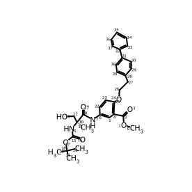 COC(=O)c1cc(NC(=O)[C@](C)(CO)NC(=O)OC(C)(C)C)ccc1OCCc1ccc(-c2ccccc2)cc1